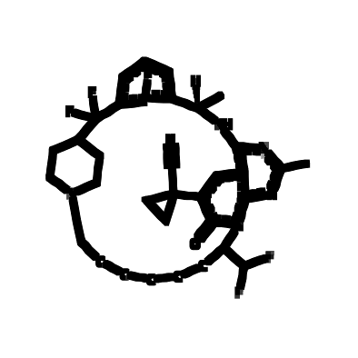 Cc1nc2c3cc(C4(C#N)CC4)c(=O)n(c3n1)C(C(F)F)CCCCCCN1CCC(CC1)C(F)(F)c1cccc(c1F)[C@@H](C)N2